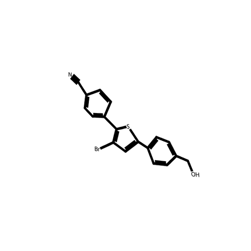 N#Cc1ccc(-c2sc(-c3ccc(CO)cc3)cc2Br)cc1